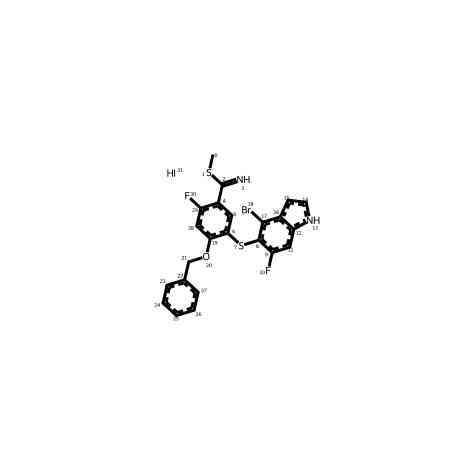 CSC(=N)c1cc(Sc2c(F)cc3[nH]ccc3c2Br)c(OCc2ccccc2)cc1F.I